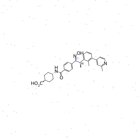 Cc1cc(-c2cccc([C@@H](C)/C(=N\O)c3ccc(C(=O)N[C@H]4CC[C@H](C(=O)O)CC4)cc3)c2C)ccn1